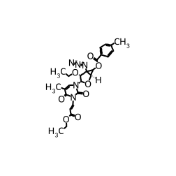 CCOC(=O)/C=C/n1c(=O)c(C)cn([C@@H]2O[C@@H]3C(OC(=O)c4ccc(C)cc4)C3(N=[N+]=[N-])[C@H]2OCC)c1=O